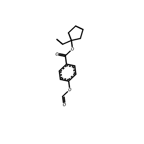 CCC1(OC(=O)c2ccc(OC=O)cc2)CCCC1